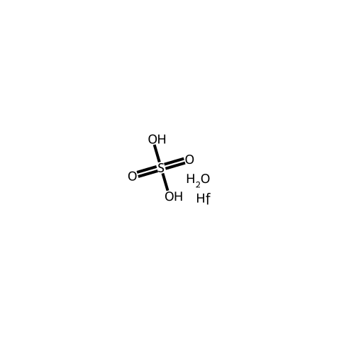 O.O=S(=O)(O)O.[Hf]